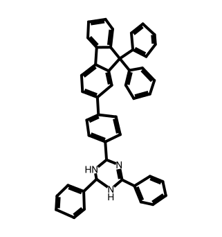 c1ccc(C2=NC(c3ccc(-c4ccc5c(c4)C(c4ccccc4)(c4ccccc4)c4ccccc4-5)cc3)NC(c3ccccc3)N2)cc1